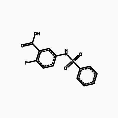 O=C(O)c1cc(NS(=O)(=O)c2ccccc2)ccc1F